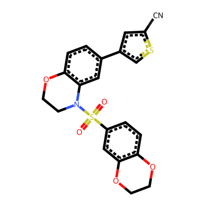 N#Cc1cc(-c2ccc3c(c2)N(S(=O)(=O)c2ccc4c(c2)OCCO4)CCO3)cs1